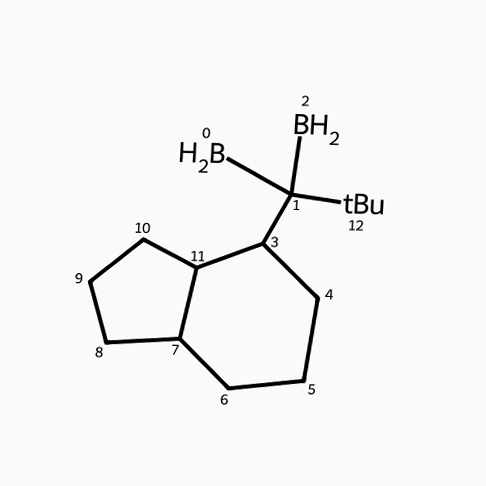 BC(B)(C1CCCC2CCCC21)C(C)(C)C